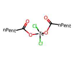 CCCCCC(=O)O[Te](Cl)(Cl)OC(=O)CCCCC